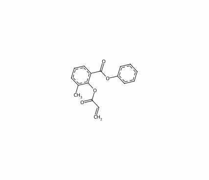 C=CC(=O)Oc1c(C)cccc1C(=O)Oc1ccccc1